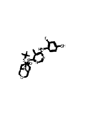 Cc1c(Nc2ccc(S)cc2F)ncnc1OC1CC2COCC(C1)N2C(=O)SC(C)(C)C